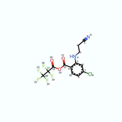 N#CCCNc1cc(Cl)ccc1C(=O)OC(=O)C(F)(F)C(F)(F)F